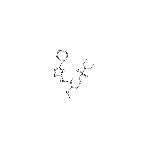 CCN(CC)S(=O)(=O)c1ccc(OC)c(Nc2ncc(-c3ccccc3)o2)c1